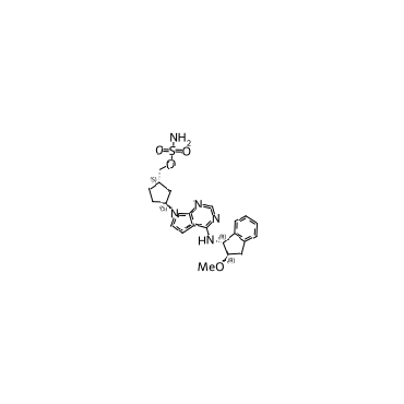 CO[C@@H]1Cc2ccccc2[C@H]1Nc1ncnc2c1ccn2[C@H]1CC[C@H](COS(N)(=O)=O)C1